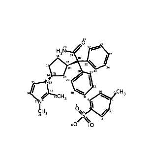 Cc1ccc(S(=O)(=O)[O-])cc1.Cc1n([C@H]2CC[C@@H](C(C(N)=O)(c3ccccc3)c3ccccc3)C2)cc[n+]1C